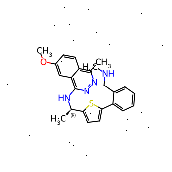 CNCc1ccccc1-c1ccc([C@@H](C)Nc2nnc(C)c3ccc(OC)cc23)s1